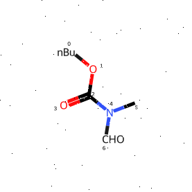 CCCCOC(=O)N(C)C=O